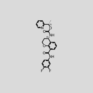 C[C@H](OC(=O)N[C@H]1CCOc2c(C(=O)Nc3ccc(F)c(F)c3)cccc21)c1ccccn1